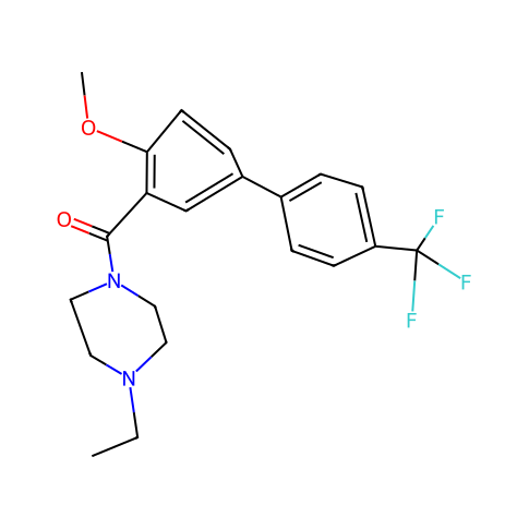 CCN1CCN(C(=O)c2cc(-c3ccc(C(F)(F)F)cc3)ccc2OC)CC1